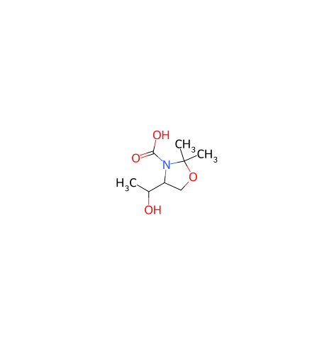 CC(O)C1COC(C)(C)N1C(=O)O